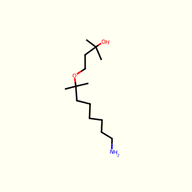 CC(C)(O)CCOC(C)(C)CCCCCCN